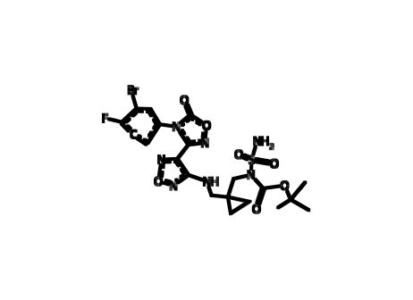 CC(C)(C)OC(=O)N(CC1(CNc2nonc2-c2noc(=O)n2-c2ccc(F)c(Br)c2)CC1)S(N)(=O)=O